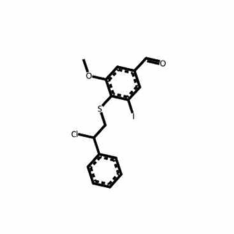 COc1cc(C=O)cc(I)c1SCC(Cl)c1ccccc1